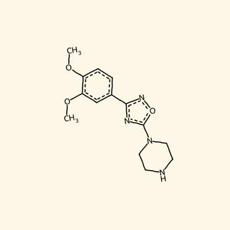 COc1ccc(-c2noc(N3CCNCC3)n2)cc1OC